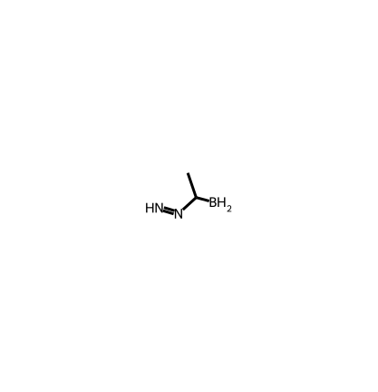 BC(C)N=N